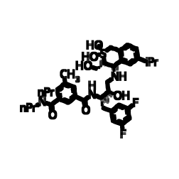 CCCN(CCC)C(=O)c1cc(C)cc(C(=O)N[C@@H](Cc2cc(F)cc(F)c2)[C@H](O)CN[C@H]2c3cc(C(C)C)ccc3CS(O)(O)[C@H]2CO)c1